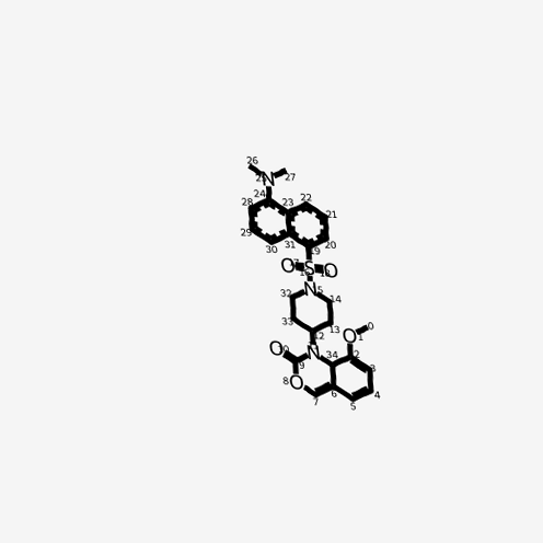 COC1=CC=CC2=COC(=O)N(C3CCN(S(=O)(=O)c4cccc5c(N(C)C)cccc45)CC3)C21